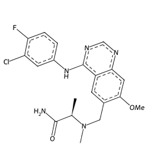 COc1cc2ncnc(Nc3ccc(F)c(Cl)c3)c2cc1CN(C)[C@H](C)C(N)=O